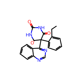 CCc1ccccc1C1(c2ncnc3ccccc23)C(=O)NC(=O)NC1=O